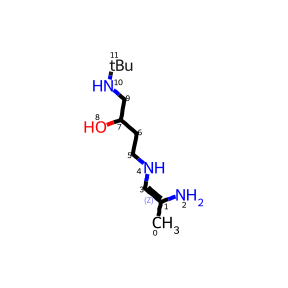 C/C(N)=C/NCCC(O)CNC(C)(C)C